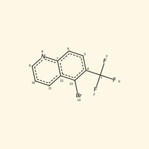 FC(F)(F)c1ccc2ncccc2c1Br